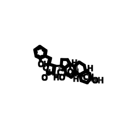 C[C@]12CC[C@H](O)C[C@H]1CC[C@@H]1[C@@H]2C[C@@H](O)[C@]2(C)[C@@H](C3=CC(=O)OC3=Cc3ccccc3O)CC[C@]12O